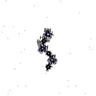 C/C=C1\C(=O)/C(=C/Nc2cc(Br)c(N/C=C3/C(=O)/C(=C\Nc4ccc(N/C=C5\C(=O)/C(=C/C)C(=O)/C(=C/Nc6ccc(C)cc6C)C5=O)cc4)C(=O)/C(=C\C)C3=O)cc2Br)C(=O)/C(=C/N)C1=O